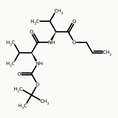 C=CCOC(=O)[C@@H](NC(=O)[C@@H](NC(=O)OC(C)(C)C)C(C)C)C(C)C